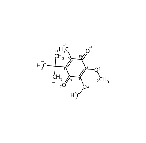 COC1=C(OC)C(=O)C(C(C)(C)C)=C(C)C1=O